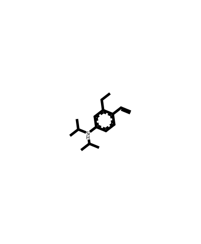 C=Cc1ccc([SiH](C(C)C)C(C)C)cc1CC